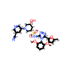 COc1cccc(OC)c1-n1c(NS(=O)(=O)[C@H]2C[C@@H](O)CN(c3cncc(C#N)c3)C2)nnc1-c1ccc(C)o1